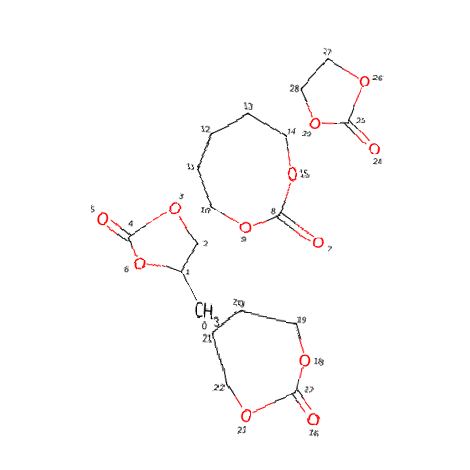 CC1COC(=O)O1.O=C1OCCCCCO1.O=C1OCCCCO1.O=C1OCCO1